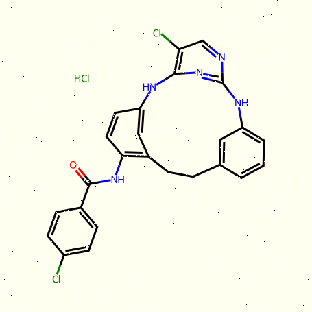 Cl.O=C(Nc1ccc2cc1CCc1cccc(c1)Nc1ncc(Cl)c(n1)N2)c1ccc(Cl)cc1